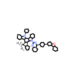 CC1(C)c2ccccc2-c2c1c1c3ccccc3n(-c3ccccc3)c1c1c3ccccc3n(-c3nc(-c4ccc(-c5ccc6oc7ccccc7c6c5)cc4)c4ccccc4n3)c21